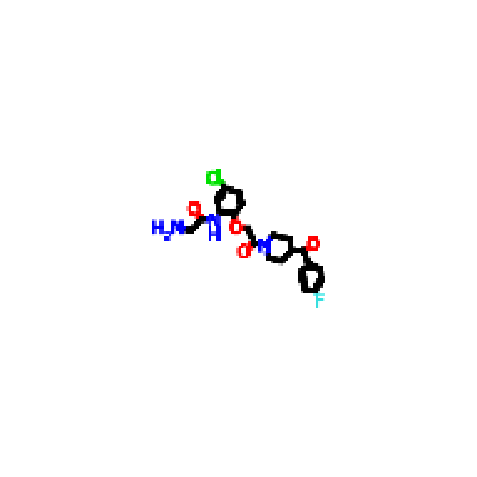 NCC(=O)Nc1cc(Cl)ccc1OCC(=O)N1CCC(C(=O)c2ccc(F)cc2)CC1